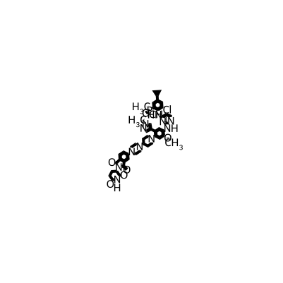 COc1cc(N2CCC(N3CCN(c4ccc5c(c4)C(=O)N(C4CCC(=O)NC4=O)C5=O)CC3)CC2)c(-c2cnn(C)c2)cc1Nc1ncc(Cl)c(Nc2ccc(C3CC3)cc2P(C)(C)=O)n1